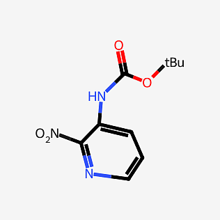 CC(C)(C)OC(=O)Nc1cccnc1[N+](=O)[O-]